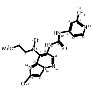 CCN(CCOC)c1c(NC(=O)Nc2ccnc(C(F)(F)F)c2)cnn2cc(Cl)nc12